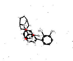 Nc1cccc(-c2cc(N3CC4CCC(C3)N4c3ccnc(Br)c3)cnn2)c1O